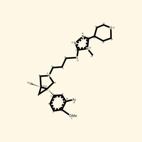 COc1ccc([C@]23C[C@H]2CN(CCCSc2nnc(C4CCOCC4)n2C)C3)cc1C(C)=O